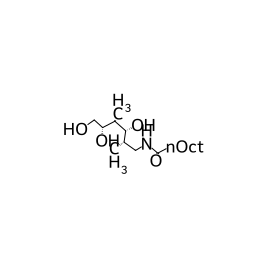 CCCCCCCCC(=O)NC[C@H](C)[C@@H](O)[C@H](C)[C@H](O)CO